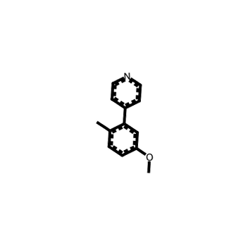 COc1ccc(C)c(-c2ccncc2)c1